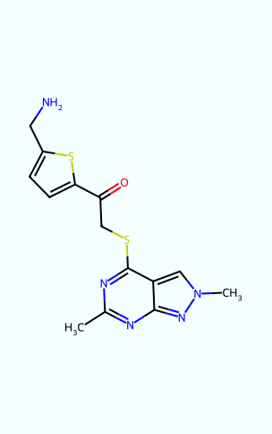 Cc1nc(SCC(=O)c2ccc(CN)s2)c2cn(C)nc2n1